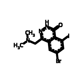 CN(C)Cc1n[nH]c(=O)c2c(I)cc(Br)cc12